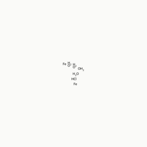 Cl.O.O.O.O.[Fe].[Fe]